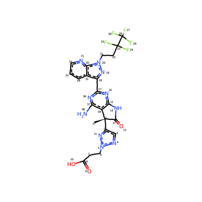 C[C@]1(c2cnn(CCC(=O)O)n2)C(=O)Nc2nc(-c3nn(CCC(F)(F)C(F)(F)F)c4ncccc34)nc(N)c21